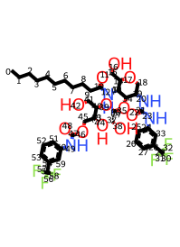 CCCCCCCCCCC(=O)N[C@H]1C(CO)OCC(NC(=O)Nc2cccc(C(F)(F)F)c2)C1O[C@H](CO)OC(CO)[C@H](O)COC(=O)Nc1cccc(C(F)(F)F)c1